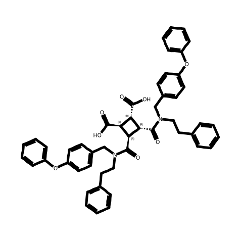 O=C(O)[C@H]1[C@H](C(=O)O)[C@H](C(=O)N(CCc2ccccc2)Cc2ccc(Oc3ccccc3)cc2)[C@H]1C(=O)N(CCc1ccccc1)Cc1ccc(Oc2ccccc2)cc1